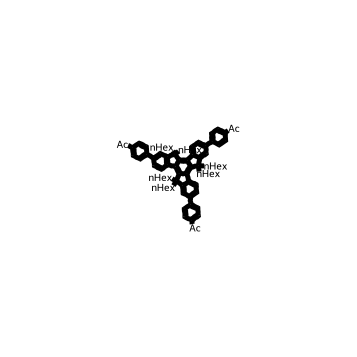 CCCCCCC1(CCCCCC)c2cc(-c3ccc(C(C)=O)cc3)ccc2-c2c1c1c(c3c2C(CCCCCC)(CCCCCC)c2cc(-c4ccc(C(C)=O)cc4)ccc2-3)C(CCCCCC)(CCCCCC)c2cc(-c3ccc(C(C)=O)cc3)ccc2-1